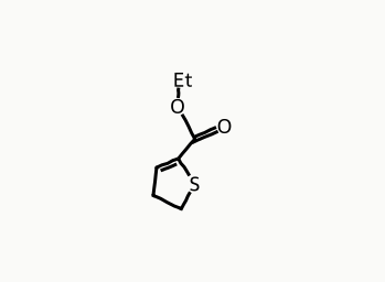 CCOC(=O)C1=CCCS1